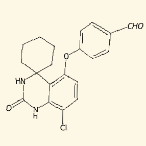 O=Cc1ccc(Oc2ccc(Cl)c3c2C2(CCCCC2)NC(=O)N3)cc1